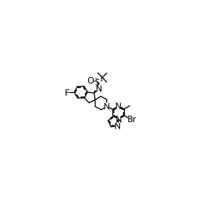 Cc1nc(N2CCC3(CC2)Cc2cc(F)ccc2C3=N[S+]([O-])C(C)(C)C)c2ccnn2c1Br